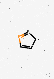 B1=P[C]=CC1